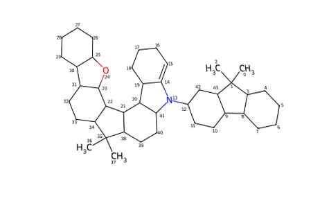 CC1(C)C2CCCCC2C2CCC(N3C4=CCCCC4C4C5C6C7OC8CCCCC8C7CCC6C(C)(C)C5CCC43)CC21